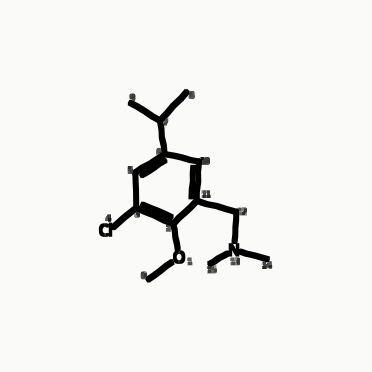 COc1c(Cl)cc(C(C)C)cc1CN(C)C